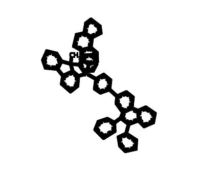 CC1(c2ccccc2)c2ccccc2-c2cccc(N(c3ccc(-c4ccc5c(c4)c(-c4ccccc4)c(-c4ccccc4)c4ccccc45)cc3)c3ccc4c(ccc5ccccc54)c3)c21